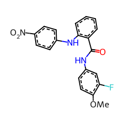 COc1ccc(NC(=O)c2ccccc2Nc2ccc([N+](=O)[O-])cc2)cc1F